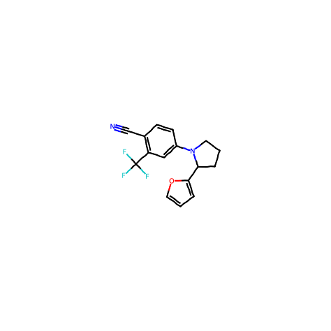 N#Cc1ccc(N2CCCC2c2ccco2)cc1C(F)(F)F